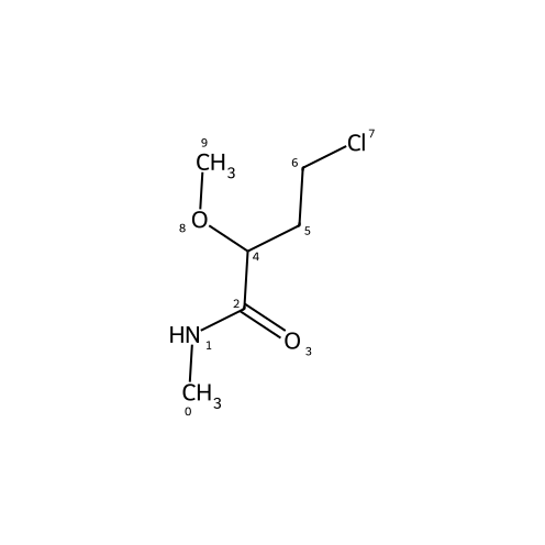 CNC(=O)C(CCCl)OC